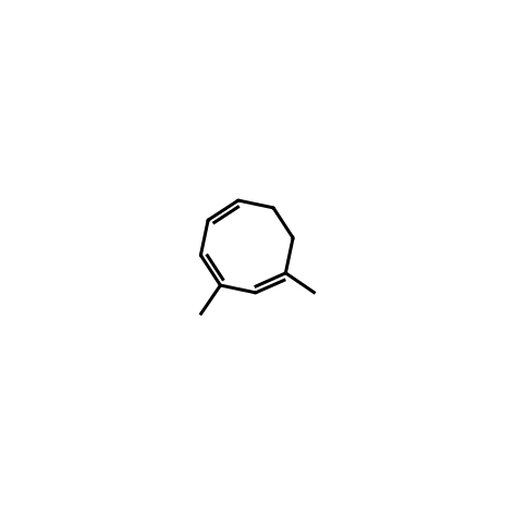 CC1=CC=CCCC(C)=C1